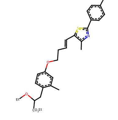 CCOC(=O)C(Cc1ccc(OCCC=Cc2sc(-c3ccc(C(F)(F)F)cc3)nc2C)cc1C)OCC